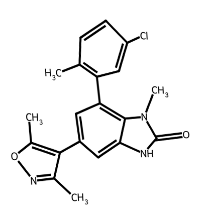 Cc1ccc(Cl)cc1-c1cc(-c2c(C)noc2C)cc2[nH]c(=O)n(C)c12